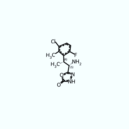 Cc1c(Cl)ccc(F)c1[C@@H](C)[C@H](N)c1n[nH]c(=O)o1